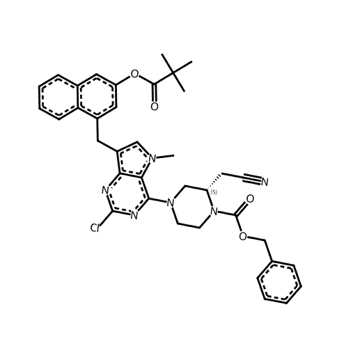 Cn1cc(Cc2cc(OC(=O)C(C)(C)C)cc3ccccc23)c2nc(Cl)nc(N3CCN(C(=O)OCc4ccccc4)[C@@H](CC#N)C3)c21